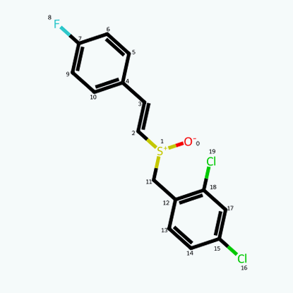 [O-][S+](/C=C/c1ccc(F)cc1)Cc1ccc(Cl)cc1Cl